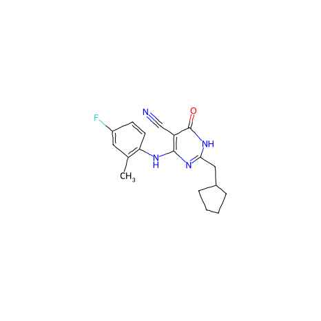 Cc1cc(F)ccc1Nc1nc(CC2CCCC2)[nH]c(=O)c1C#N